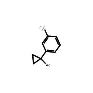 CC(=O)C1(c2cccc(C(F)(F)F)c2)CC1